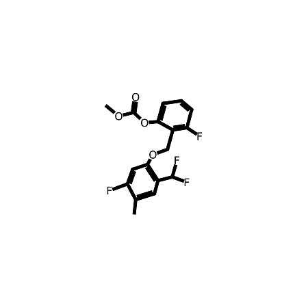 COC(=O)Oc1cccc(F)c1COc1cc(F)c(C)cc1C(F)F